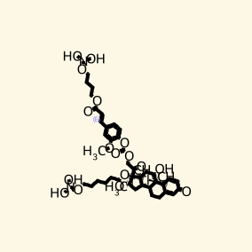 COc1cc(/C=C/C(=O)OCCCCON(O)O)ccc1OC(=O)OCC(=O)[C@@]1(OC(=O)CCCCCON(O)O)[C@@H](C)CC2C3CCC4=CC(=O)C=C[C@]4(C)[C@@]3(Cl)[C@@H](O)C[C@@]21C